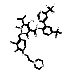 Cc1c(OCCN2CCOCC2)ccc(CN2C(=O)C(C(=O)Nc3ccc(C(F)(F)F)cc3-c3cc(C(F)(F)F)ncn3)=C(O)C(C(C)C)N2C)c1F